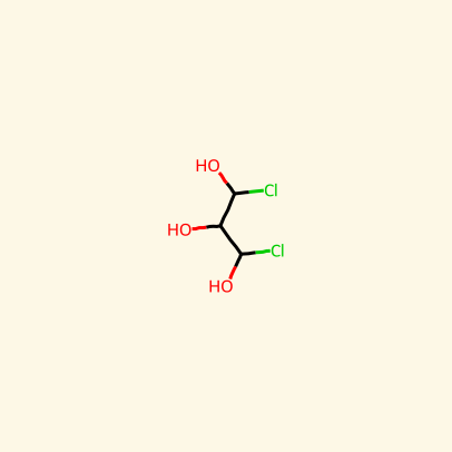 OC(Cl)C(O)C(O)Cl